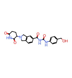 O=C1CCC(N2Cc3ccc(C(=O)NC(=O)Nc4ccc(CO)cc4)cc3C2)C(=O)N1